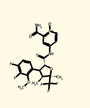 COc1c(C2[C@H](C(=O)Nc3cc[n+]([O-])c(C(N)=O)c3)O[C@@](C)(C(F)(F)F)[C@H]2C)ccc(F)c1F